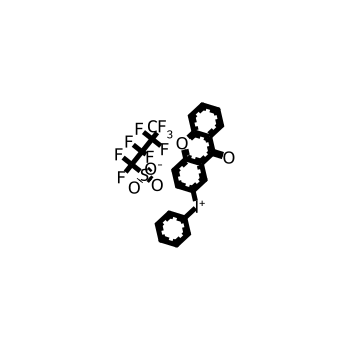 O=S(=O)([O-])C(F)(F)C(F)(F)C(F)(F)C(F)(F)F.O=c1c2ccccc2oc2ccc([I+]c3ccccc3)cc12